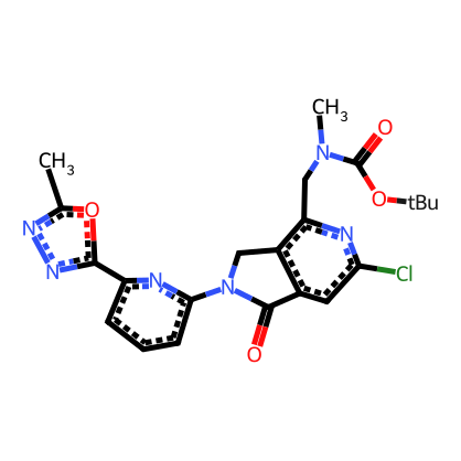 Cc1nnc(-c2cccc(N3Cc4c(cc(Cl)nc4CN(C)C(=O)OC(C)(C)C)C3=O)n2)o1